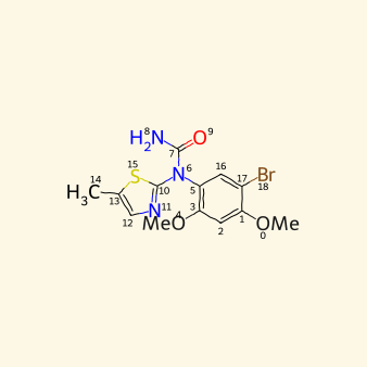 COc1cc(OC)c(N(C(N)=O)c2ncc(C)s2)cc1Br